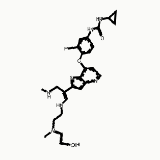 CNC/C(=C\NCCN(C)CCO)c1cc2nccc(Oc3ccc(NC(=O)NC4CC4)cc3F)c2s1